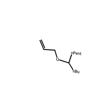 C=CCOC(CCCC)CCCCC